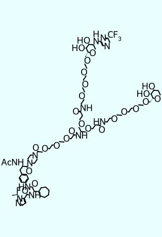 CC(=O)N[C@H](Cc1ccc(NC(=O)[C@@H](NC(=O)c2ccnn2[C@@H](C)F)C2CCCCCC2)cc1)C(=O)N1CCN(C(=O)COCCOCCOCC(=O)NC(COCCC(=O)NCCOCCOCCOCCOC[C@H]2OCC[C@@H](O)[C@H]2O)COCCC(=O)NCCOCCOCCOCCOC[C@H]2OCC(Nc3cncc(C(F)(F)F)n3)[C@@H](O)[C@H]2O)CC1